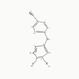 Oc1ccc(Oc2ccc(F)c(F)c2)cc1